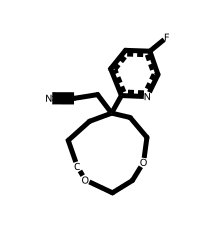 N#CCC1(c2ccc(F)cn2)CCCOCCOCC1